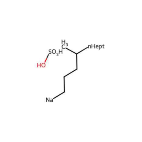 CCCCCCCC(C)CC[CH2][Na].O=S(=O)(O)O